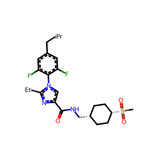 CCc1nc(C(=O)NC[C@H]2CC[C@@H](S(C)(=O)=O)CC2)cn1-c1c(F)cc(CC(C)C)cc1F